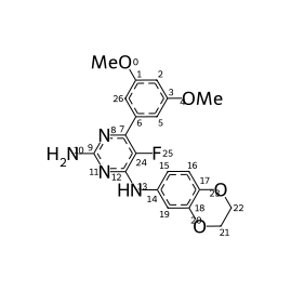 COc1cc(OC)cc(-c2nc(N)nc(Nc3ccc4c(c3)OCCO4)c2F)c1